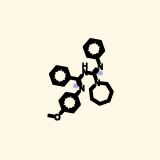 COc1ccc(/N=C(/N/C(=N\c2ccccc2)N2CCCCCC2)c2ccccc2)cc1